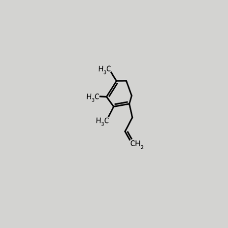 C=CCC1=C(C)C(C)=C(C)CC1